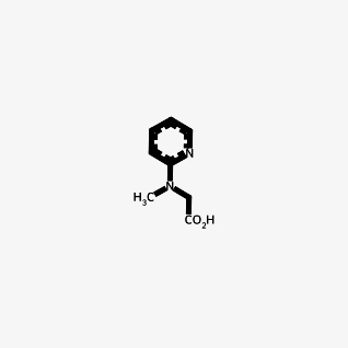 CN(CC(=O)O)c1ccccn1